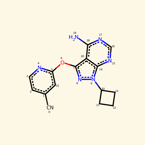 N#Cc1ccnc(Oc2nn(C3CCC3)c3ncnc(N)c23)c1